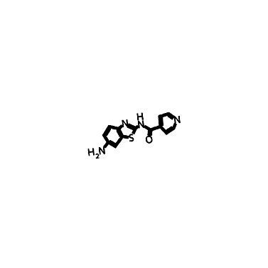 Nc1ccc2nc(NC(=O)c3ccncc3)sc2c1